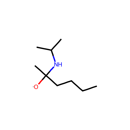 CCCCC(C)([O])NC(C)C